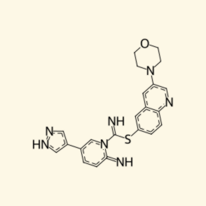 N=C(Sc1ccc2ncc(N3CCOCC3)cc2c1)n1cc(-c2cn[nH]c2)ccc1=N